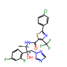 C[C@@H](NC(=O)c1sc(-c2ccc(Cl)cc2)nc1C(F)(F)F)[C@](O)(Cn1cncn1)c1ccc(F)cc1F